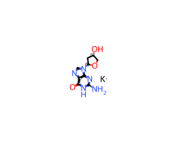 Nc1nc2c(ncn2[C@H]2C[C@H](O)CO2)c(=O)[nH]1.[K]